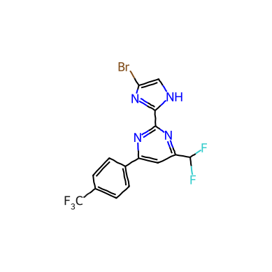 FC(F)c1cc(-c2ccc(C(F)(F)F)cc2)nc(-c2nc(Br)c[nH]2)n1